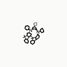 CC1(C)c2ccccc2-c2c1cc1cc2C2(C)c3ccccc3-c3ccc(cc32)N(c2ccccc2)c2cc(Cl)cc(c2)N1c1ccccc1